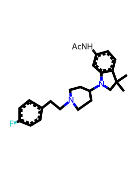 CC(=O)Nc1ccc2c(c1)N(C1CCN(CCc3ccc(F)cc3)CC1)CC2(C)C